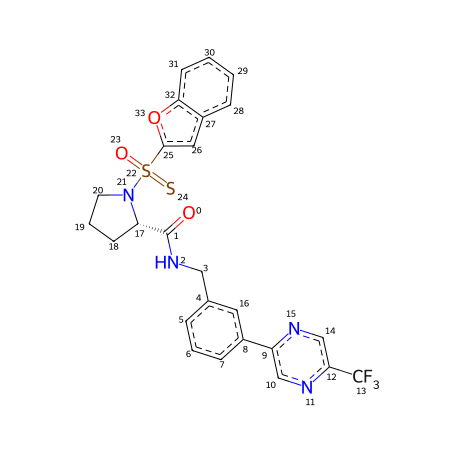 O=C(NCc1cccc(-c2cnc(C(F)(F)F)cn2)c1)[C@@H]1CCCN1S(=O)(=S)c1cc2ccccc2o1